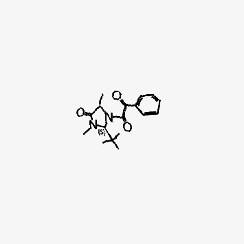 CC1C(=O)N(C)[C@H](C(C)(C)C)N1C(=O)C(=O)c1ccccc1